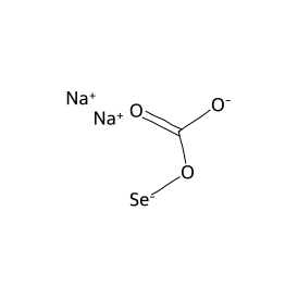 O=C([O-])O[Se-].[Na+].[Na+]